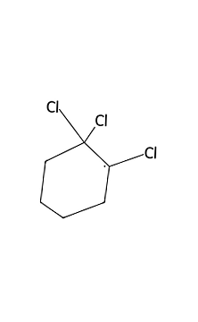 Cl[C]1CCCCC1(Cl)Cl